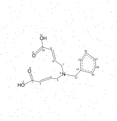 O=C(O)C=CCN(CC=CC(=O)O)Cc1ccccc1